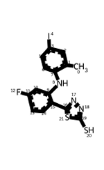 Cc1cc(I)ccc1Nc1cc(F)ccc1-c1nnc(S)s1